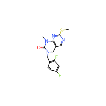 CSc1ncc2c(n1)N(C)C(=O)N(Cc1ccc(F)cc1F)C2